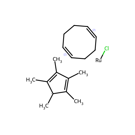 C1=C\CC/C=C\CC/1.C[C]1C(C)=C(C)C(C)=C1C.[Cl][Ru]